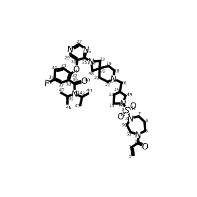 C=CC(=O)N1CCCN(S(=O)(=O)N2CCC(CN3CCC4(CC3)CN(c3ncncc3Oc3ccc(F)cc3C(=O)N(C(C)C)C(C)C)C4)C2)CC1